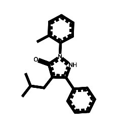 Cc1ccccc1-n1[nH]c(-c2ccccc2)c(CC(C)C)c1=O